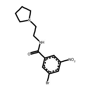 O=C(NCCN1CCCC1)c1cc(Br)cc([N+](=O)[O-])c1